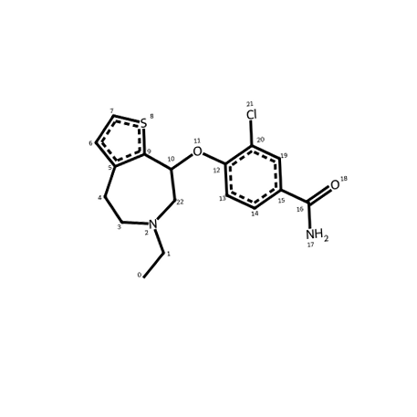 CCN1CCc2ccsc2C(Oc2ccc(C(N)=O)cc2Cl)C1